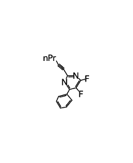 CCCC#Cc1nc(F)c(F)c(-c2ccccc2)n1